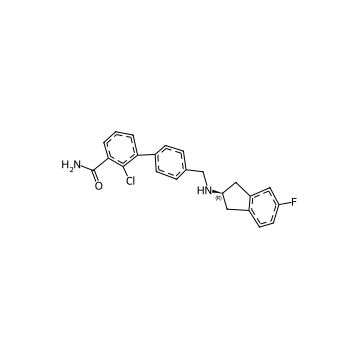 NC(=O)c1cccc(-c2ccc(CN[C@@H]3Cc4ccc(F)cc4C3)cc2)c1Cl